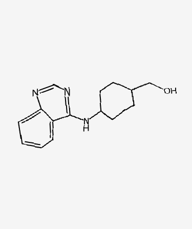 OCC1CCC(Nc2ncnc3ccccc23)CC1